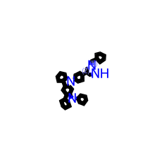 N=C/C(=C\N=C\c1ccccc1)c1ccc(-n2c3ccccc3c3cc4c5ccccc5n(-c5ccccc5)c4cc32)cc1